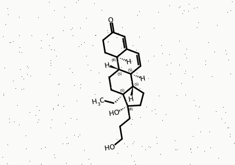 CC[C@]12CC[C@H]3[C@@H](C=CC4=CC(=O)CC[C@@H]43)[C@@H]1CC[C@@]2(O)CCCO